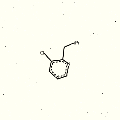 CC(C)Cc1ncccc1Cl